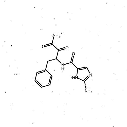 Cc1ncc(C(=O)NC(Cc2ccccc2)C(=O)C(N)=O)[nH]1